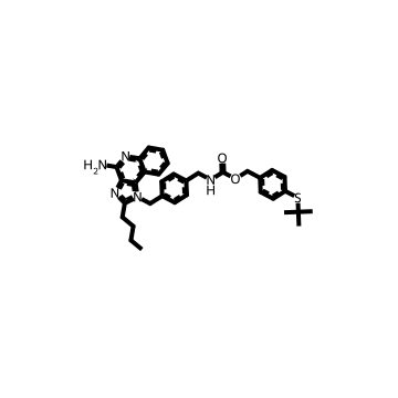 CCCCc1nc2c(N)nc3ccccc3c2n1Cc1ccc(CNC(=O)OCc2ccc(SC(C)(C)C)cc2)cc1